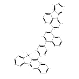 CC1(C)c2ccccc2-c2nc3ccccc3c(-c3ccc(-c4ccc(-c5ccc6c7c(cccc57)-c5ccccc5-6)c5ccccc45)cc3)c21